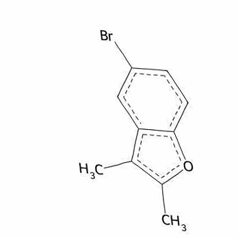 Cc1oc2ccc(Br)cc2c1C